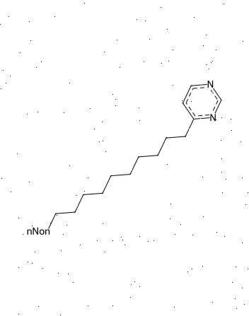 CCCCCCCCCCCCCCCCCCCc1ccncn1